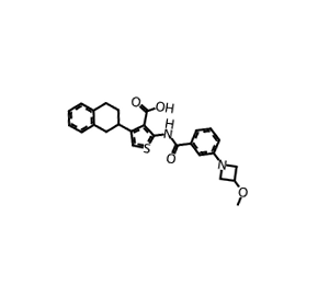 COC1CN(c2cccc(C(=O)Nc3scc(C4CCc5ccccc5C4)c3C(=O)O)c2)C1